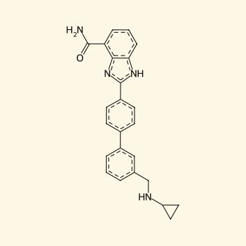 NC(=O)c1cccc2[nH]c(-c3ccc(-c4cccc(CNC5CC5)c4)cc3)nc12